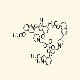 COc1cccc2ccc(C3CCN(C[C@@H](COc4cccc5[nH]c(C)cc45)OC(=O)C(=O)O[C@H](COc4cccc5[nH]c(C)cc45)CN4CCC(c5ccc6cccc(OC)c6c5)CC4)CC3)cc12